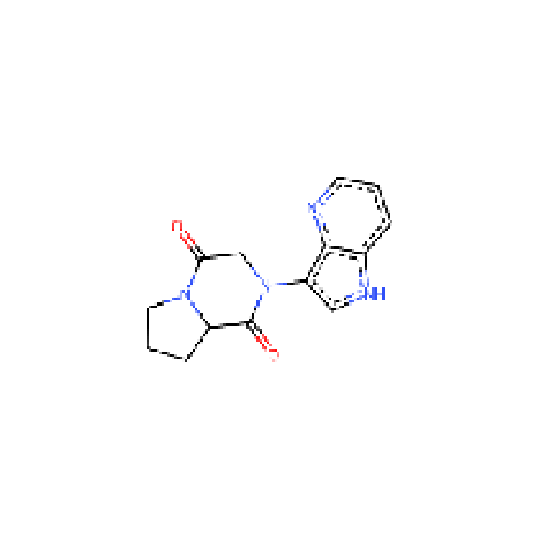 O=C1C2CCCN2C(=O)CN1c1c[nH]c2cccnc12